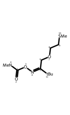 CNC(=O)ON=C(COCCSC)C(C)(C)C